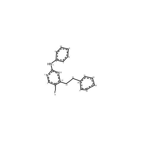 Fc1cnc(Nc2ccccc2)nc1CCc1ccccc1